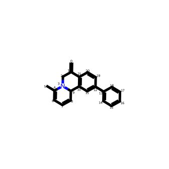 C=C1CN2C(C)=CC=CC2c2cc(-c3ccccc3)ccc21